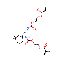 C=CC(=O)OCCOC(=O)NCCC1(NC(=O)OCCOC(=O)C(=C)C)CCCC(C)(C)C1